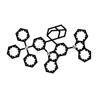 c1ccc([Si](c2ccccc2)(c2ccccc2)c2ccc3c(c2)-n2c4ccccc4c4cc(-n5c6ccccc6c6ccccc65)cc(c42)C32C3CC4CC(C3)CC2C4)cc1